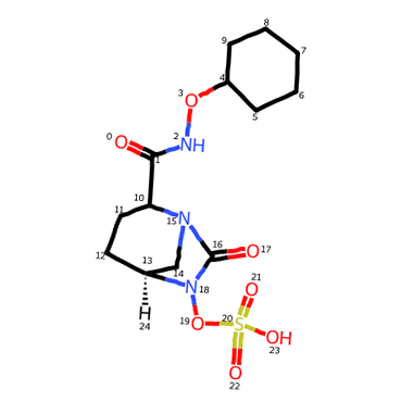 O=C(NOC1CCCCC1)C1CC[C@H]2CN1C(=O)N2OS(=O)(=O)O